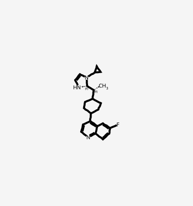 C[C@H](C1CCC(c2ccnc3ccc(F)cc23)CC1)[C@@H]1NC=CN1C1CC1